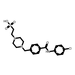 O=C(Nc1ccc(Cl)cc1)c1ccc(CN2CCN(CCS(=O)(=O)O)CC2)cc1